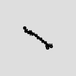 Cc1c(COc2ccc(CNCCOCCOCCOCCOCCOCCC(=O)NC(C3CCCCC3)C3CCCCC3)cn2)cccc1-c1ccccc1